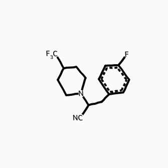 N#CC(Cc1ccc(F)cc1)N1CCC(C(F)(F)F)CC1